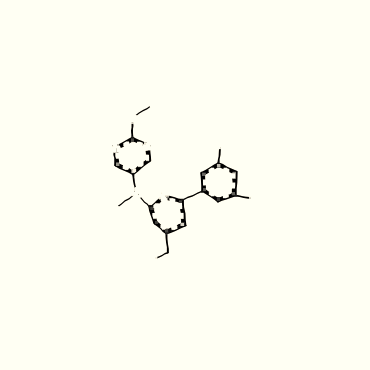 CSc1ncc(N(C)c2cc(CO)cc(-c3cc(Cl)cc(Cl)c3)n2)cn1